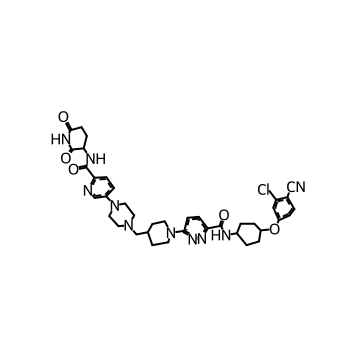 N#Cc1ccc(OC2CCC(NC(=O)c3ccc(N4CCC(CN5CCN(c6ccc(C(=O)NC7CCC(=O)NC7=O)nc6)CC5)CC4)nn3)CC2)cc1Cl